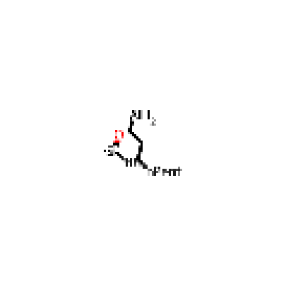 CC(C)(C)[Si]=O.CCCCCCC[CH2][AlH2]